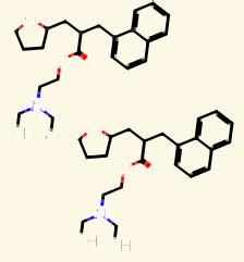 CCN(CC)CCOC(=O)C(Cc1cccc2ccccc12)CC1CCCO1.CCN(CC)CCOC(=O)C(Cc1cccc2ccccc12)CC1CCCO1